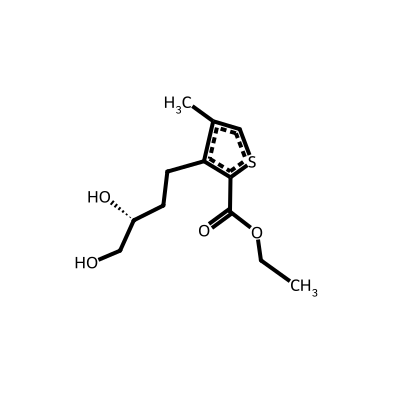 CCOC(=O)c1scc(C)c1CC[C@@H](O)CO